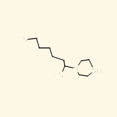 NCCCCCC(N)N1CCNCC1